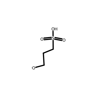 [O]CCCS(=O)(=O)O